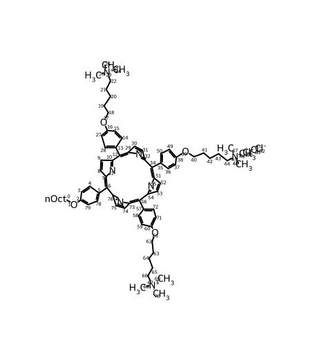 CCCCCCCCOc1ccc(C2=C3C=CC(=N3)C(c3ccc(OCCCCC[N+](C)(C)C)cc3)=C3C=CC(=N3)C(c3ccc(OCCCCC[N+](C)(C)C)cc3)=C3C=CC(=N3)C(c3ccc(OCCCCC[N+](C)(C)C)cc3)=C3C=CC2=N3)cc1.[Cl-].[Cl-].[Cl-]